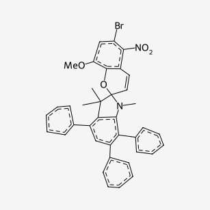 COc1cc(Br)c([N+](=O)[O-])c2c1OC1(C=C2)N(C)c2c(-c3ccccc3)c(-c3ccccc3)cc(-c3ccccc3)c2C1(C)C